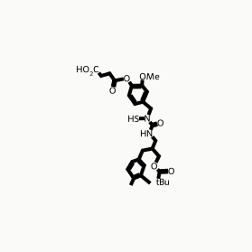 COc1cc(CN(S)C(=O)NCC(COC(=O)C(C)(C)C)Cc2ccc(C)c(C)c2)ccc1OC(=O)CCC(=O)O